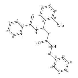 O=C(CC(NC(=O)c1ccccn1)c1ccccc1[N+](=O)[O-])NCc1ccccn1